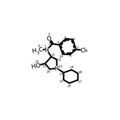 CN(C(=O)c1ccc(Cl)cc1)C1CN(C2CCCCC2)CC1O